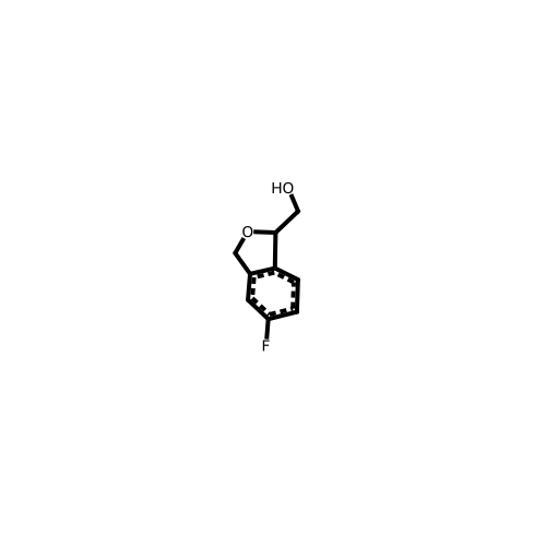 OCC1OCc2cc(F)ccc21